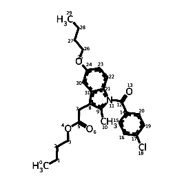 CCCCOC(=O)Cc1c(C)n(C(=O)c2ccc(Cl)cc2)c2ccc(OCCCC)cc12